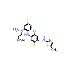 CNCCN(C)c1cc(F)ccc1Nc1cc(F)c(SNc2ncc(C)s2)cc1Cl